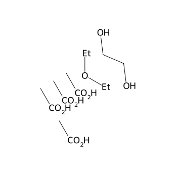 CC(=O)O.CC(=O)O.CC(=O)O.CC(=O)O.CCOCC.OCCO